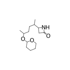 CC(CCC(C)C1CC(=O)N1)OC1CCCCO1